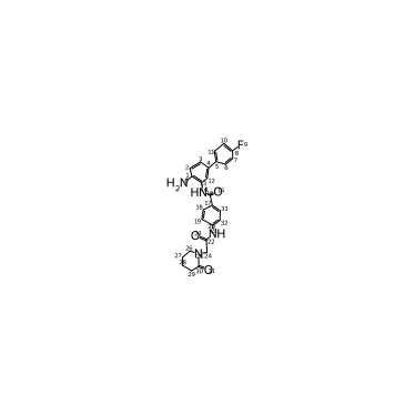 Nc1ccc(-c2ccc(F)cc2)cc1NC(=O)c1ccc(NC(=O)CN2CCCCC2=O)cc1